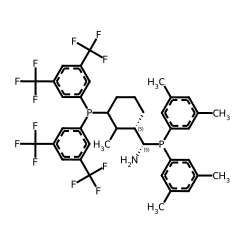 Cc1cc(C)cc(P(c2cc(C)cc(C)c2)[C@H](N)[C@H]2CCCC(P(c3cc(C(F)(F)F)cc(C(F)(F)F)c3)c3cc(C(F)(F)F)cc(C(F)(F)F)c3)C2C)c1